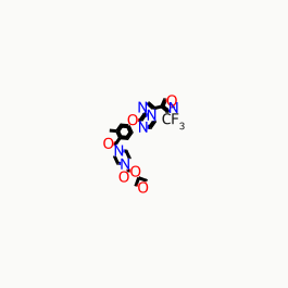 Cc1cc(Oc2nccn3c(-c4conc4C(F)(F)F)cnc23)ccc1C(=O)N1CCN(C(=O)OC2COC2)CC1